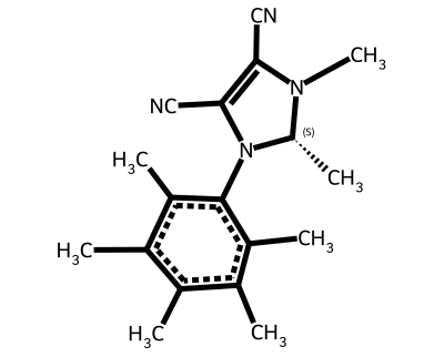 Cc1c(C)c(C)c(N2C(C#N)=C(C#N)N(C)[C@@H]2C)c(C)c1C